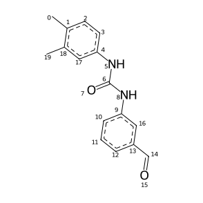 Cc1ccc(NC(=O)Nc2cccc(C=O)c2)cc1C